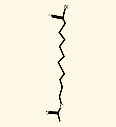 CC(=O)OCCCCCCCCCCC(=O)O